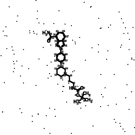 CC(C)(C)OC(=O)NCCCN1CCC[C@@H](c2ccc(-n3cc4cccc(C(N)=O)c4n3)cc2)C1